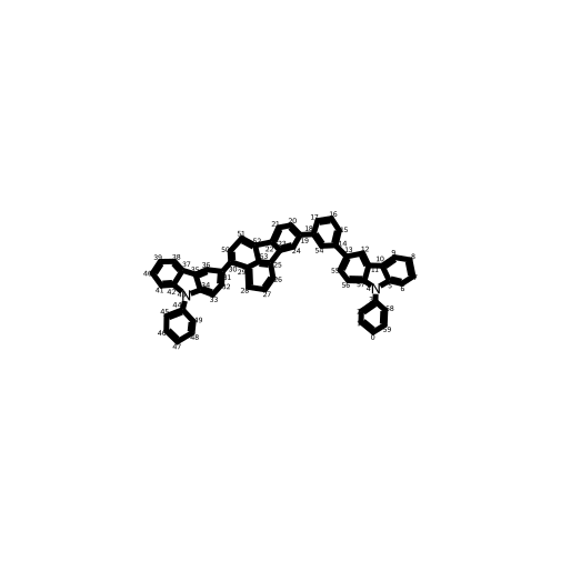 c1ccc(-n2c3ccccc3c3cc(-c4cccc(-c5ccc6c(c5)-c5cccc7c(-c8ccc9c(c8)c8ccccc8n9-c8ccccc8)ccc-6c57)c4)ccc32)cc1